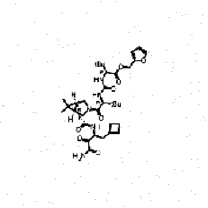 CC(C)(C)[C@H](NC(=O)N[C@H](C(=O)N1C[C@H]2[C@@H]([C@H]1C(=O)NC(CC1CCC1)C(=O)C(N)=O)C2(C)C)C(C)(C)C)C(=O)OCc1ccco1